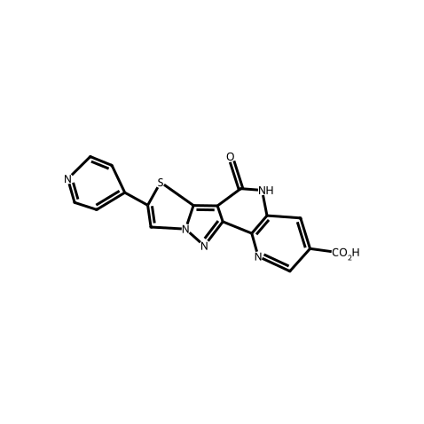 O=C(O)c1cnc2c(c1)[nH]c(=O)c1c2nn2cc(-c3ccncc3)sc12